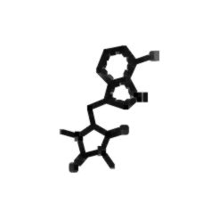 CN1C(=O)C(Cc2c[nH]c3c(Cl)cccc23)N(C)C1=O